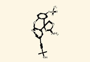 CC(C)(O)C#Cc1cnc2c(c1)C1(COC(N)=N1)c1cc(OS(=O)(=O)C(F)(F)F)ccc1O2